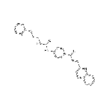 O=C(NCCSc1ccccn1)Nc1ccc(C(=O)/C=C/c2cnc3ccccc3n2)cc1